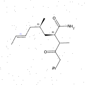 C/C=C/C[C@@H](C)C[C@@H](C(N)=O)C(C)C(=O)CC(C)C